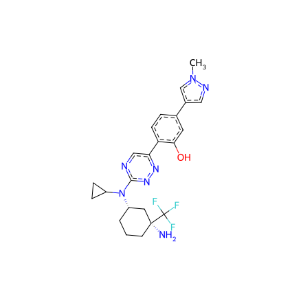 Cn1cc(-c2ccc(-c3cnc(N(C4CC4)[C@H]4CCC[C@](N)(C(F)(F)F)C4)nn3)c(O)c2)cn1